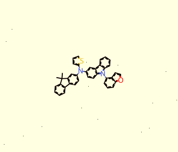 CC1(C)c2ccccc2-c2ccc(N(c3ccc4c(c3)c3ccccc3n4-c3cccc4occc34)c3cccs3)cc21